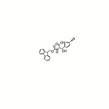 N#Cc1ccc([C@@H](O)C(NC(=O)OCC2c3ccccc3-c3ccccc32)C(=O)O)cc1